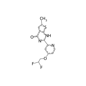 Cc1cc2c(=O)nc(-c3cc(OCC(F)F)ccn3)[nH]c2s1